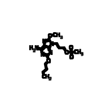 CCCCOc1nc(N)c2nc(OC)n(CCCOS(C)(=O)=O)c2n1